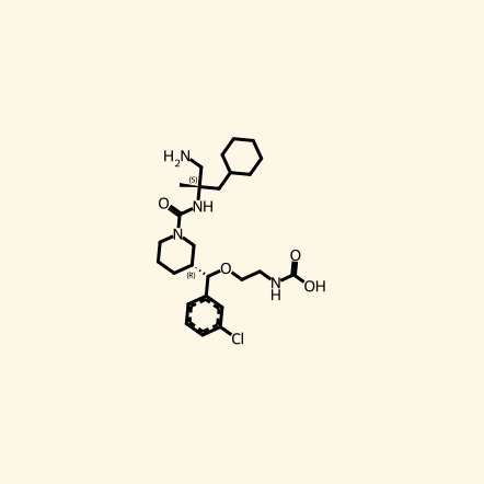 C[C@@](CN)(CC1CCCCC1)NC(=O)N1CCC[C@@H](C(OCCNC(=O)O)c2cccc(Cl)c2)C1